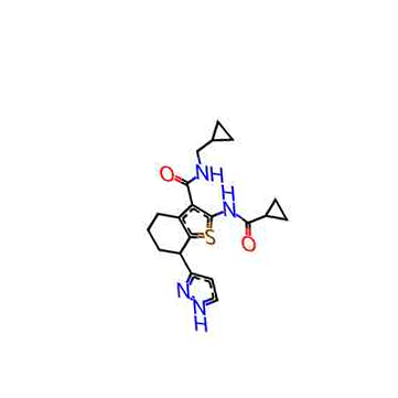 O=C(NCC1CC1)c1c(NC(=O)C2CC2)sc2c1CCCC2c1cc[nH]n1